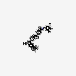 CS(=O)(=O)Nc1ccc2[nH]cc(C3CCN(CC(=O)C4CCN(C(=O)/C=C/c5cc(F)c(F)c(F)c5)CC4)CC3)c2c1